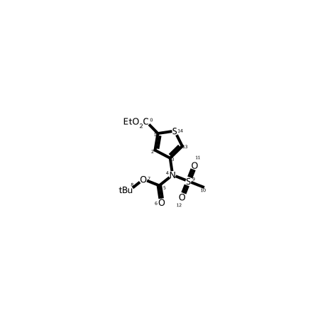 CCOC(=O)c1cc(N(C(=O)OC(C)(C)C)S(C)(=O)=O)cs1